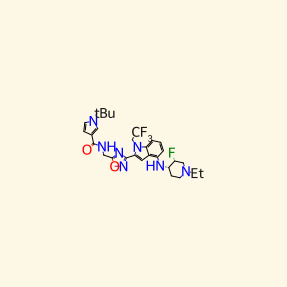 CCN1CC[C@H](Nc2cccc3c2cc(-c2noc(CNC(=O)c4ccn(C(C)(C)C)c4)n2)n3CC(F)(F)F)[C@H](F)C1